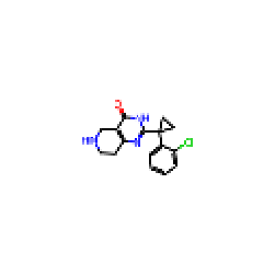 O=c1[nH]c(C2(c3ccccc3Cl)CC2)nc2c1CNCC2